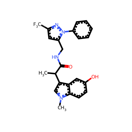 CC(C(=O)NCc1cc(C(F)(F)F)nn1-c1ccccc1)c1cn(C)c2ccc(O)cc12